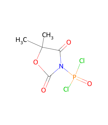 CC1(C)OC(=O)N(P(=O)(Cl)Cl)C1=O